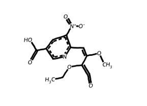 CCOC(=C=O)/C(=C\c1ncc(C(=O)O)cc1[N+](=O)[O-])OC